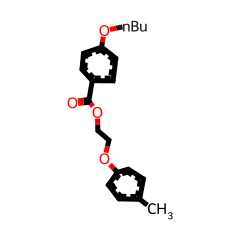 CCCCOc1ccc(C(=O)OCCOc2ccc(C)cc2)cc1